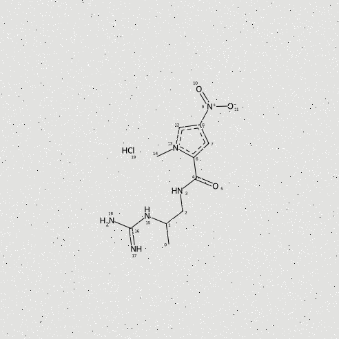 CC(CNC(=O)c1cc([N+](=O)[O-])cn1C)NC(=N)N.Cl